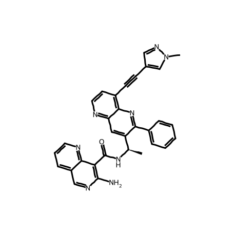 C[C@@H](NC(=O)c1c(N)ncc2cccnc12)c1cc2nccc(C#Cc3cnn(C)c3)c2nc1-c1ccccc1